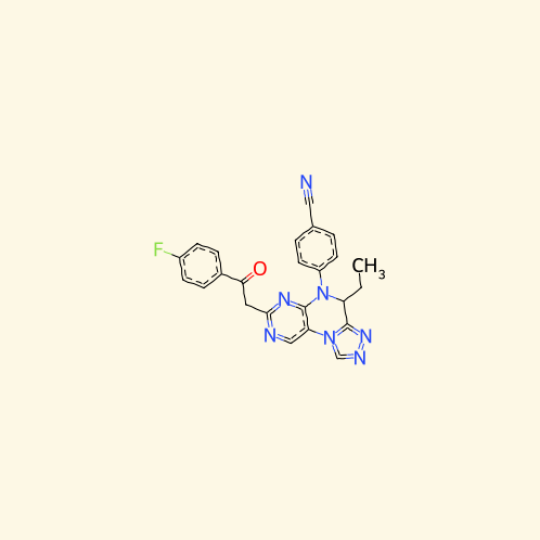 CCC1c2nncn2-c2cnc(CC(=O)c3ccc(F)cc3)nc2N1c1ccc(C#N)cc1